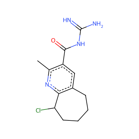 Cc1nc2c(cc1C(=O)NC(=N)N)CCCCC2Cl